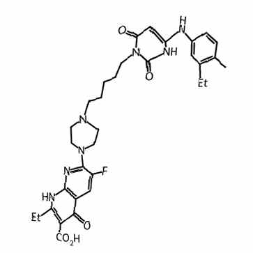 CCc1cc(Nc2cc(=O)n(CCCCCN3CCN(c4nc5[nH]c(CC)c(C(=O)O)c(=O)c5cc4F)CC3)c(=O)[nH]2)ccc1C